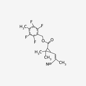 CC(C#N)=CC1C(C(=O)OCc2c(F)c(F)c(C)c(F)c2F)C1(C)C